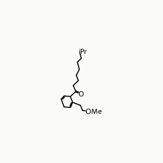 COCCC1=CCC=CC1C(=O)CCCCCCC(C)C